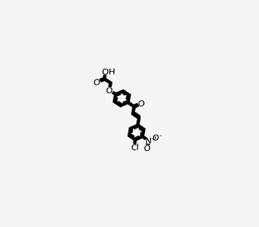 O=C(O)COc1ccc(C(=O)C=Cc2ccc(Cl)c([N+](=O)[O-])c2)cc1